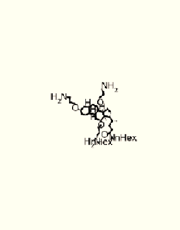 CCCCCCN(CCCCCC)C(=O)CC[C@@H](C)[C@H]1CC[C@H]2[C@@H]3[C@H](OCCCN)C[C@@H]4C[C@H](OCCCN)CC[C@]4(C)[C@H]3C[C@H](OCCCN)[C@]12C